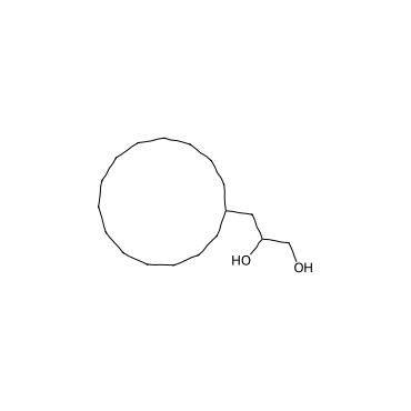 OCC(O)CC1CCCCCCCCCCCCCC1